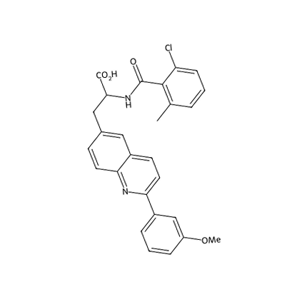 COc1cccc(-c2ccc3cc(CC(NC(=O)c4c(C)cccc4Cl)C(=O)O)ccc3n2)c1